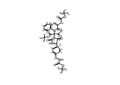 CC(=O)[C@@](C(=O)OC(C)(C)C)(N1C(=O)N[C@](C)(c2ccc(CNC(=O)OC(C)(C)C)cc2)C1=O)N(C(=O)C(N)CC(=O)OC(C)(C)C)c1ccccc1